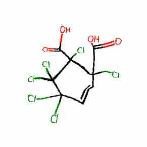 O=C(O)C1(Cl)C=CC(Cl)(Cl)C(Cl)(Cl)C1(Cl)C(=O)O